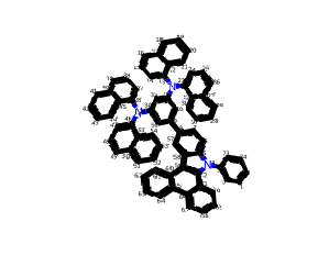 c1ccc(-n2c3ccc(-c4cc(N(c5cccc6ccccc56)c5cccc6ccccc56)cc(N(c5cccc6ccccc56)c5cccc6ccccc56)c4)cc3c3c4ccccc4c4ccccc4c32)cc1